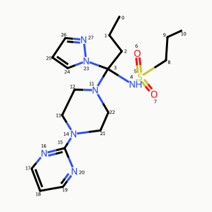 [CH2]CCC(NS(=O)(=O)CCC)(N1CCN(c2ncccn2)CC1)n1cccn1